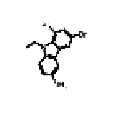 CCn1c2ccc(N)cc2c2cc(Br)cc(Br)c21